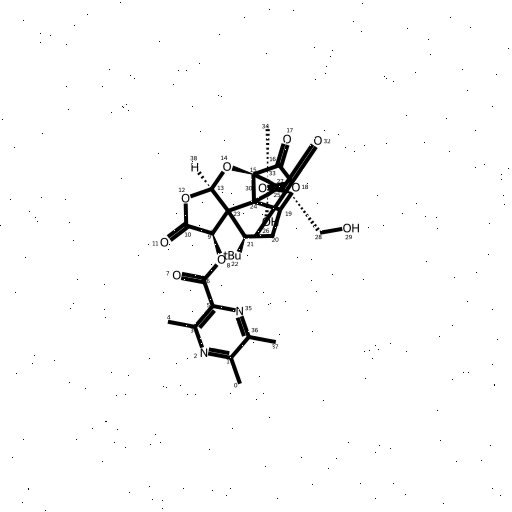 Cc1nc(C)c(C(=O)O[C@H]2C(=O)O[C@H]3O[C@]45C(=O)OC6C[C@@H](C(C)(C)C)C32C64[C@@H](O)[C@@H](CO)OC(=O)[C@H]5C)nc1C